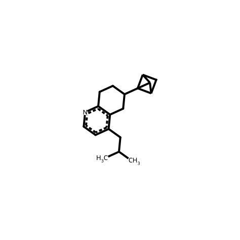 CC(C)Cc1ccnc2c1CC(C1C3CC1C3)CC2